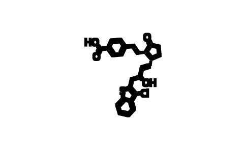 O=C(O)c1ccc(CC[C@H]2C(=O)CC[C@@H]2/C=C/C(O)Cc2sc3ccccc3c2Cl)cc1